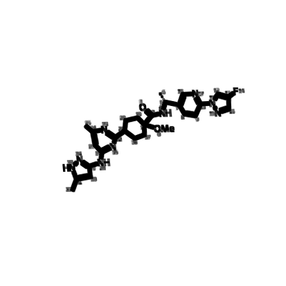 COC1(C(=O)N[C@H](C)c2ccc(-n3cc(F)cn3)nc2)CCC(c2nc(C)cc(Nc3cc(C)[nH]n3)n2)CC1